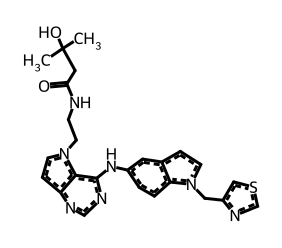 CC(C)(O)CC(=O)NCCn1ccc2ncnc(Nc3ccc4c(ccn4Cc4cscn4)c3)c21